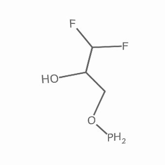 OC(COP)C(F)F